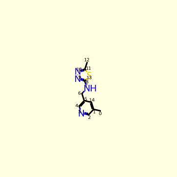 Cc1cncc(CNc2nnc(C)s2)c1